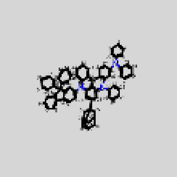 c1ccc(N(c2ccccc2)c2ccc3c(c2)N(c2ccccc2)c2cc(C45CC6CC(CC(C6)C4)C5)cc4c2B3c2ccccc2N4c2ccc3c(c2)C(c2ccccc2)(c2ccccc2)c2ccccc2-3)cc1